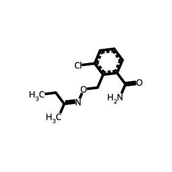 CCC(C)=NOCc1c(Cl)cccc1C(N)=O